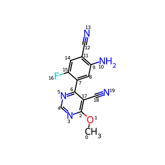 COc1ncnc(-c2cc(N)c(C#N)cc2F)c1C#N